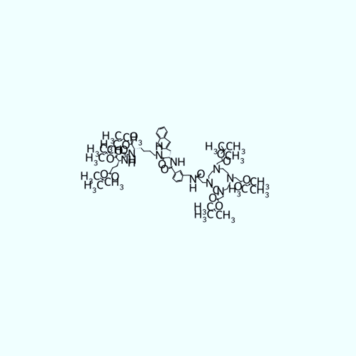 CC(C)(C)OC(=O)CC[C@H](NC(=O)N[C@@H](CCCCNC(=O)[C@H](Cc1ccc2ccccc2c1)NC(=O)c1cccc(CNC(=O)CN2CCN(CC(=O)OC(C)(C)C)CCN(CC(=O)OC(C)(C)C)CCN(CC(=O)OC(C)(C)C)CC2)c1)C(=O)OC(C)(C)C)C(=O)OC(C)(C)C